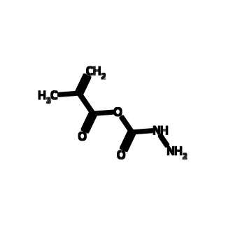 C=C(C)C(=O)OC(=O)NN